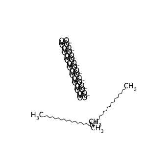 CCCCCCCCCCCCCCCCCC[N+](C)(C)CCCCCCCCCCCCCCCCCC.[O]=[Mo](=[O])([O-])[O-].[O]=[Mo](=[O])([O-])[O-].[O]=[Mo](=[O])([O-])[O-].[O]=[Mo](=[O])([O-])[O-].[O]=[Mo](=[O])([O-])[O-].[O]=[Mo](=[O])([O-])[O-].[O]=[Mo](=[O])([O-])[O-].[O]=[Mo](=[O])([O-])[O-]